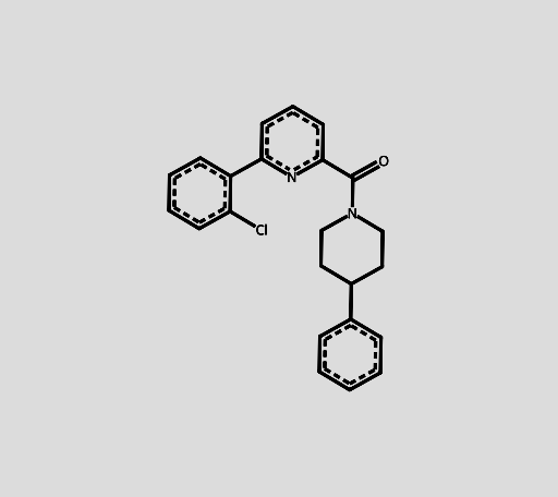 O=C(c1cccc(-c2ccccc2Cl)n1)N1CCC(c2ccccc2)CC1